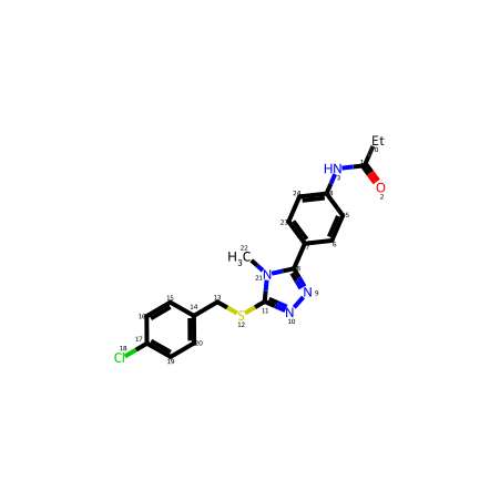 CCC(=O)Nc1ccc(-c2nnc(SCc3ccc(Cl)cc3)n2C)cc1